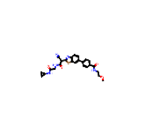 COCCNC(=O)c1ccc(-c2ccc3nc(C(C#N)C(=O)NCC(=O)NC4CC4)sc3c2)cc1